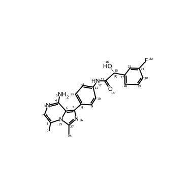 Cc1cnc(N)c2c(-c3ccc(NC(=O)[C@H](O)c4cccc(F)c4)cc3)nc(C)n12